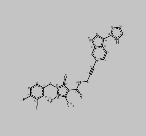 Cc1c(C(=O)NCC#Cc2ccc3c(-c4ccc[nH]4)c[nH]c3c2)c(=O)n(Cc2ccc(F)c(F)c2)n1C